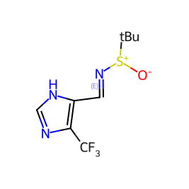 CC(C)(C)[S+]([O-])/N=C/c1[nH]cnc1C(F)(F)F